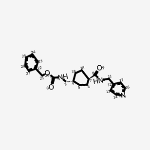 O=C(NC[C@H]1CC[C@H](C(=O)NCc2ccncc2)CC1)OCc1ccccc1